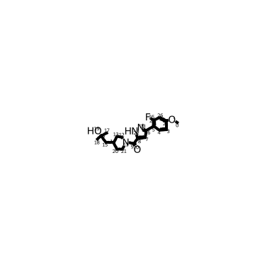 COc1ccc(-c2cc(C(=O)N3CCC(CC(C)(C)O)CC3)[nH]n2)c(F)c1